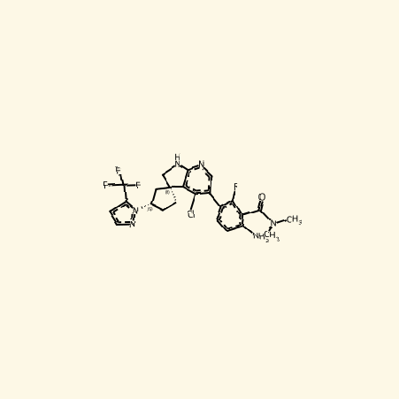 CN(C)C(=O)c1c(N)ccc(-c2cnc3c(c2Cl)[C@]2(CC[C@H](n4nccc4C(F)(F)F)C2)CN3)c1F